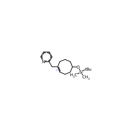 CC(C)(C)[Si](C)(C)OC1CC/C=C(/Cc2ccccn2)CCC1